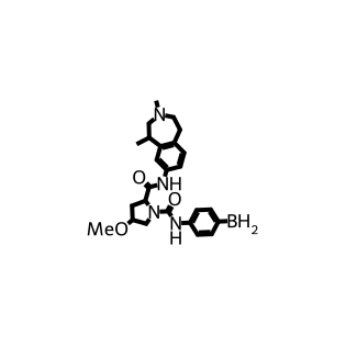 Bc1ccc(NC(=O)N2CC(OC)CC2C(=O)Nc2ccc3c(c2)C(C)CN(C)CC3)cc1